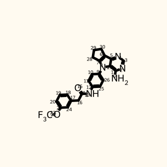 Nc1ncnc2c3c(n(-c4ccc(NC(=O)Cc5cccc(OC(F)(F)F)c5)cc4)c12)CCC3